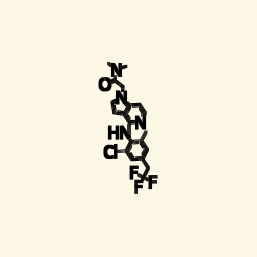 Cc1cc(CC(F)(F)F)cc(Cl)c1Nc1nccc2c1ccn2CC(=O)N(C)C